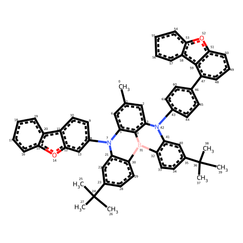 Cc1cc2c3c(c1)N(c1ccc4c(c1)oc1ccccc14)c1cc(C(C)(C)C)ccc1B3c1ccc(C(C)(C)C)cc1N2c1ccc(-c2cccc3oc4ccccc4c23)cc1